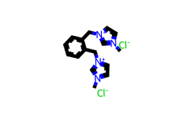 Cn1cc[n+](Cc2ccccc2C[n+]2ccn(C)c2)c1.[Cl-].[Cl-]